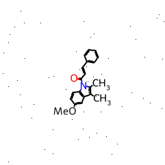 COc1ccc2c(c1)c(C)c(C)n2C(=O)C=Cc1ccccc1